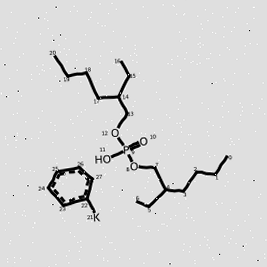 CCCCC(CC)COP(=O)(O)OCC(CC)CCCC.[K][c]1ccccc1